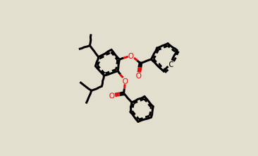 CC(C)Cc1cc(C(C)C)cc(OC(=O)c2ccccc2)c1OC(=O)c1ccccc1